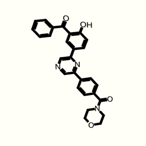 O=C(c1ccccc1)c1cc(-c2cncc(-c3ccc(C(=O)N4CCOCC4)cc3)n2)ccc1O